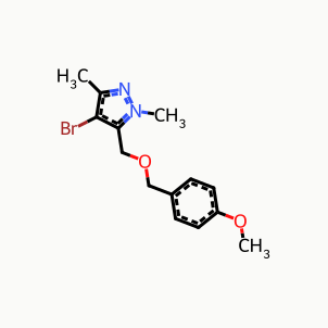 COc1ccc(COCc2c(Br)c(C)nn2C)cc1